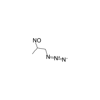 CC(CN=[N+]=[N-])N=O